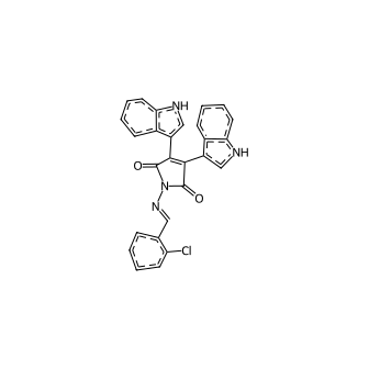 O=C1C(c2c[nH]c3ccccc23)=C(c2c[nH]c3ccccc23)C(=O)N1/N=C/c1ccccc1Cl